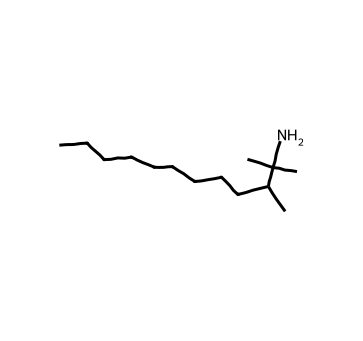 CCCCCCCCCC(C)C(C)(C)N